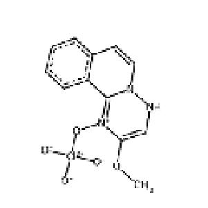 COC1=CNN2C=Cc3ccccc3C2=[N+]1O[Cl+3]([O-])([O-])[O-]